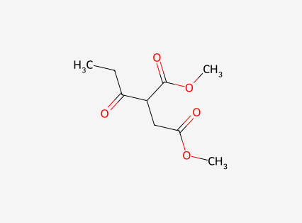 CCC(=O)C(CC(=O)OC)C(=O)OC